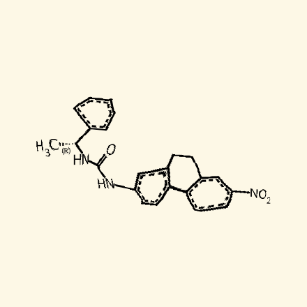 C[C@@H](NC(=O)Nc1ccc2c(c1)CCc1cc([N+](=O)[O-])ccc1-2)c1ccccc1